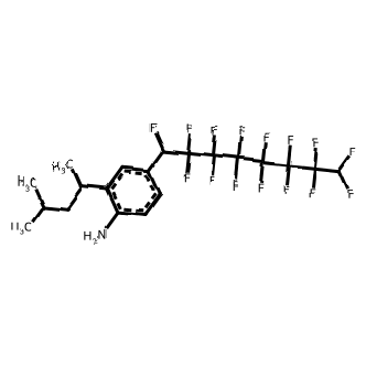 CC(C)CC(C)c1cc(C(F)C(F)(F)C(F)(F)C(F)(F)C(F)(F)C(F)(F)C(F)(F)C(F)F)ccc1N